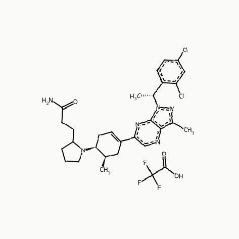 Cc1nn([C@H](C)c2ccc(Cl)cc2Cl)c2nc(C3=CC[C@H](N4CCCC4CCC(N)=O)[C@H](C)C3)cnc12.O=C(O)C(F)(F)F